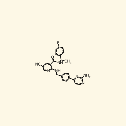 CC(NC(=O)c1cc(C#N)cnc1NCc1ccc(-c2ccnc(N)n2)cc1)c1ccc(F)cc1